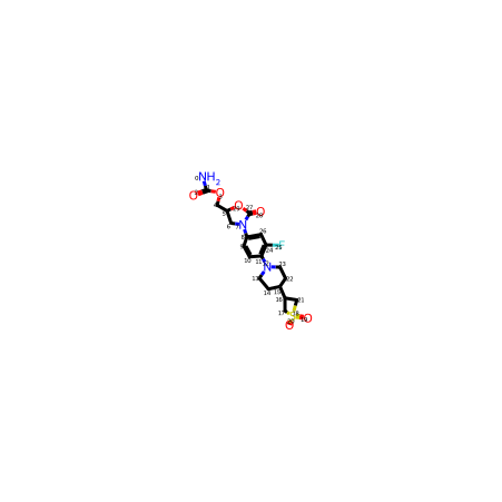 NC(=O)OCC1CN(c2ccc(N3CCC(C4CS(=O)(=O)C4)CC3)c(F)c2)C(=O)O1